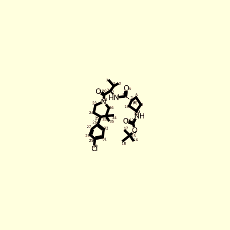 CC(C)[C@@H](NC(=O)[C@@H]1CC[C@H](NC(=O)OC(C)(C)C)C1)C(=O)N1CCC(c2ccc(Cl)cc2)C(C)(C)C1